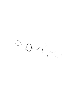 CC1CC(N2CCCCC2)C(=O)N=C1C=Cc1ccc(-n2ccnc2)cc1